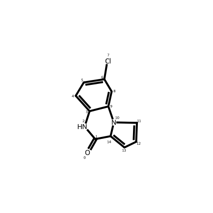 O=c1[nH]c2ccc(Cl)cc2n2cccc12